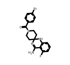 CCc1ccc(C(=O)N2CCC3(CC2)N=C(N)c2c(F)cccc2N3)cc1